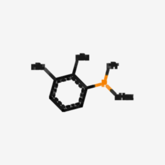 CCCCCCP(CCC)c1cccc(CCCC)c1CCCC